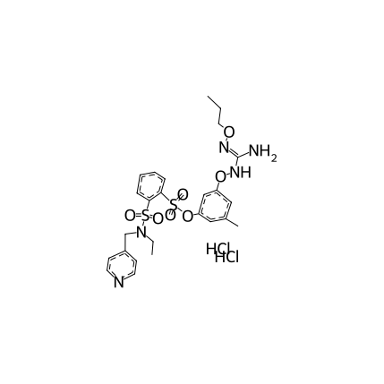 CCCON=C(N)NOc1cc(C)cc(OS(=O)(=O)c2ccccc2S(=O)(=O)N(CC)Cc2ccncc2)c1.Cl.Cl